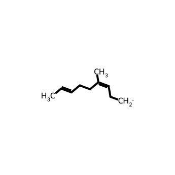 [CH2]CC=C(C)CCC=CC